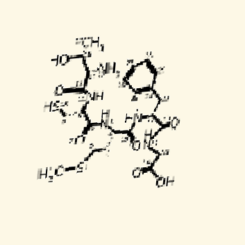 CSCC[C@H](NC(=O)[C@H](CS)NC(=O)[C@@H](N)[C@@H](C)O)C(=O)N[C@@H](Cc1ccccc1)C(=O)NCC(=O)O